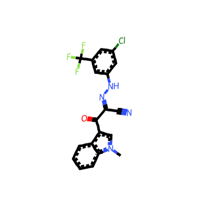 Cn1cc(C(=O)/C(C#N)=N/Nc2cc(Cl)cc(C(F)(F)F)c2)c2ccccc21